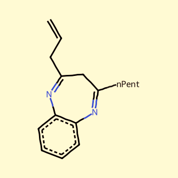 C=CCC1=Nc2ccccc2N=C(CCCCC)C1